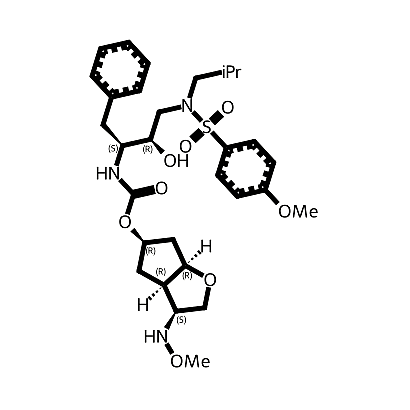 CON[C@@H]1CO[C@@H]2C[C@H](OC(=O)N[C@@H](Cc3ccccc3)[C@H](O)CN(CC(C)C)S(=O)(=O)c3ccc(OC)cc3)C[C@H]12